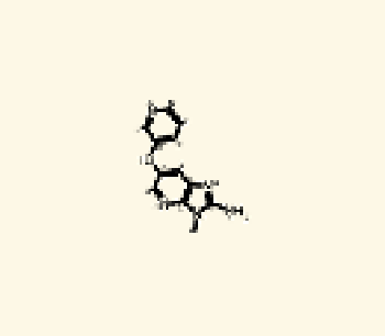 Cn1c(N)nc2cc(Oc3cccnc3)cnc21